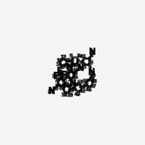 N#Cc1cccc(-c2ccc3c4ccccc4n(-c4cc(-c5ccc(C#N)cc5C(F)(F)F)c(-n5c6ccccc6c6ccc(-c7cccc(C#N)c7)cc65)cc4C#N)c3c2)c1